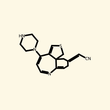 N#CC=C1CC=C2N=CC=C(N3CCNCC3)C3=CSCC23C1